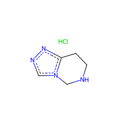 Cl.c1nnc2n1CNCC2